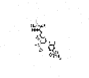 CS(=O)(=O)c1ccc(Cc2cc(NC3CC3)n3ncc(/C=C4\NC(=O)NC4=O)c3n2)c(Cl)c1